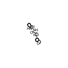 O=C(Nc1nc2ccccc2[nH]1)c1csc(-c2ccc3c(c2)CCO3)n1